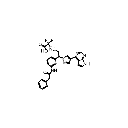 N#CCC(c1cccc(NC(=O)Cc2ccccc2)c1)n1cc(-c2ncnc3[nH]ccc23)cn1.O=C(O)C(F)(F)F